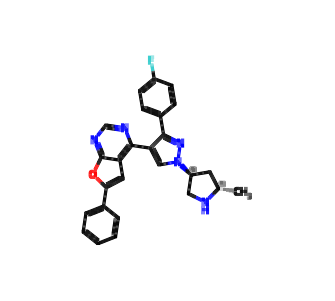 C[C@H]1C[C@H](n2cc(-c3ncnc4oc(-c5ccccc5)cc34)c(-c3ccc(F)cc3)n2)CN1